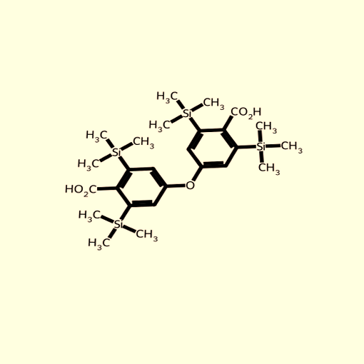 C[Si](C)(C)c1cc(Oc2cc([Si](C)(C)C)c(C(=O)O)c([Si](C)(C)C)c2)cc([Si](C)(C)C)c1C(=O)O